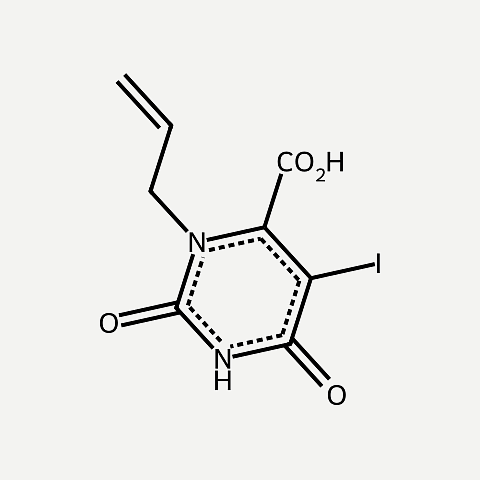 C=CCn1c(C(=O)O)c(I)c(=O)[nH]c1=O